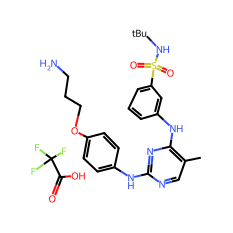 Cc1cnc(Nc2ccc(OCCCN)cc2)nc1Nc1cccc(S(=O)(=O)NC(C)(C)C)c1.O=C(O)C(F)(F)F